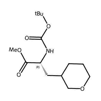 COC(=O)[C@@H](CC1CCCOC1)NC(=O)OC(C)(C)C